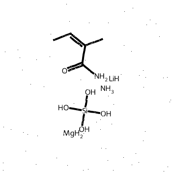 CC=C(C)C(N)=O.N.O[Si](O)(O)O.[LiH].[MgH2]